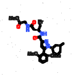 COC(=O)CNC(=O)C[C@H](CC(C)C)NC(=O)c1cc(-c2c(OC)cccc2OC)n(C2CCCC(C)C2)n1